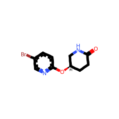 O=C1CC[C@@H](Oc2ccc(Br)cn2)CN1